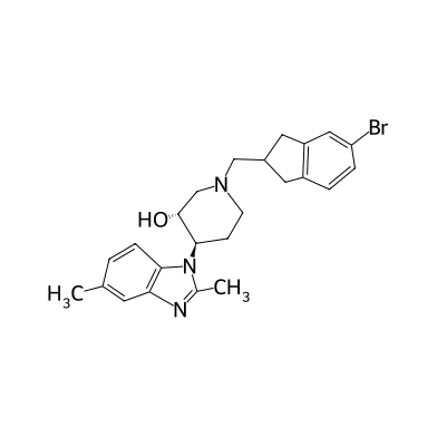 Cc1ccc2c(c1)nc(C)n2[C@@H]1CCN(CC2Cc3ccc(Br)cc3C2)C[C@H]1O